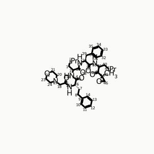 CC(C)CC(NC(=O)[C@H](CCc1ccccc1)NC(=O)CN1CCOCC1)C(=O)N[C@@H](Cc1ccccc1)C(=O)NC(CC(C)C)C(=O)[C@@]1(C)CO1